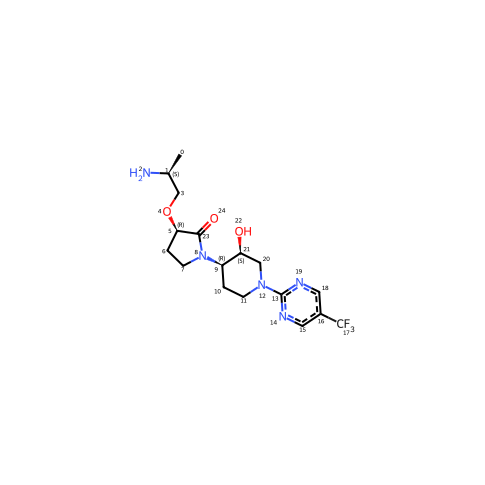 C[C@H](N)CO[C@@H]1CCN([C@@H]2CCN(c3ncc(C(F)(F)F)cn3)C[C@@H]2O)C1=O